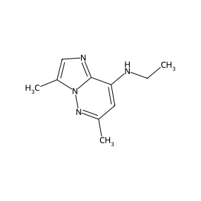 CCNc1cc(C)nn2c(C)cnc12